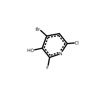 Oc1c(Br)cc(Cl)nc1F